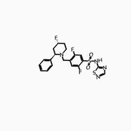 O=S(=O)(Nc1ncns1)c1cc(F)c(CN2CC[C@@H](F)C[C@@H]2c2ccccc2)cc1F